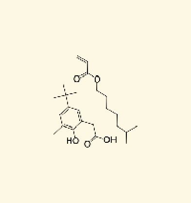 C=CC(=O)OCCCCCC(C)C.Cc1cc(C(C)(C)C)cc(CC(=O)O)c1O